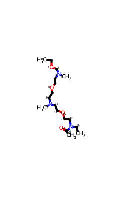 CCOCN(C)CCOCCN(C)CCOCCN(CC)C(C)=O